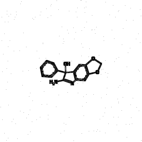 NC1=Nc2cc3c(cc2C1(O)c1ccccc1)OCO3